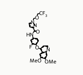 COc1cc2nccc(Oc3ccc(NC(=O)c4ccn(COCC(F)(F)F)n4)cc3F)c2cc1OC